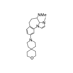 CNC1CCc2ccc(N3CCC4(CCOCC4)CC3)cc2N2C=CN(C)C12